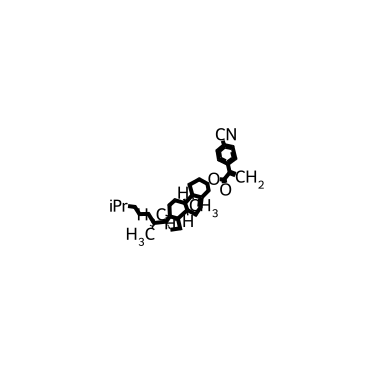 C=C(C(=O)O[C@H]1CC[C@@]2(C)C(=CC[C@H]3[C@@H]4CC[C@H]([C@H](C)CCCC(C)C)[C@@]4(C)CC[C@@H]32)C1)c1ccc(C#N)cc1